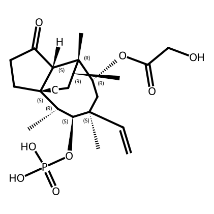 C=C[C@]1(C)C[C@@H](OC(=O)CO)[C@]2(C)[C@H](C)CC[C@]3(CCC(=O)[C@@H]32)[C@@H](C)[C@@H]1OP(=O)(O)O